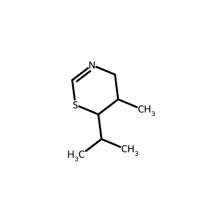 CC(C)C1SC=NCC1C